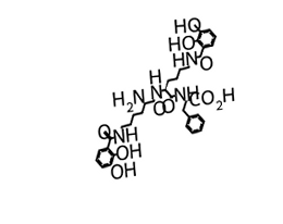 N[C@@H](CCCCNC(=O)c1cccc(O)c1O)C(=O)N[C@@H](CCCCNC(=O)c1cccc(O)c1O)C(=O)N[C@@H](Cc1ccccc1)C(=O)O